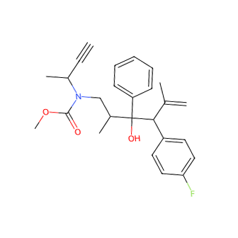 C#CC(C)N(CC(C)C(O)(c1ccccc1)C(C(=C)C)c1ccc(F)cc1)C(=O)OC